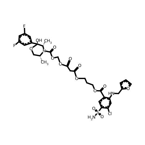 C[C@@H]1CO[C@@](O)(c2cc(F)cc(F)c2)[C@H](C)N1C(=O)OCOC(=O)CC(=O)OCCCOC(=O)c1cc(S(N)(=O)=O)c(Cl)cc1NCc1ccco1